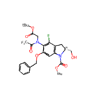 CC(C)(C)OC(=O)CN(C(=O)C(F)(F)F)c1c(OCc2ccccc2)cc2c(c1F)C[C@H](CO)N2C(=O)OC(C)(C)C